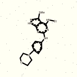 CCNc1nc(Nc2ccc(N3CCOCC3)cc2)nc2[nH]nc(SC)c12